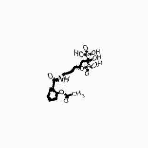 CC(=O)Oc1ccccc1C(=O)NCCCCCC(O)(P(=O)(O)O)P(=O)(O)O